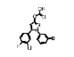 O=C(O)Oc1cc(-c2ccc(F)c(Cl)c2)n(-c2cccc(Br)c2)n1